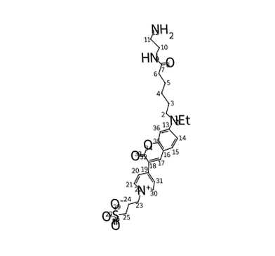 CCN(CCCCCC(=O)NCCN)c1ccc2cc(-c3cc[n+](CCCS(=O)(=O)[O-])cc3)c(=O)oc2c1